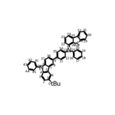 CC(C)(C)c1ccc2c(c1)c1cc(-c3ccc(N(c4ccccc4)c4cccc5c4sc4ccccc45)cc3)ccc1n2-c1ccccc1